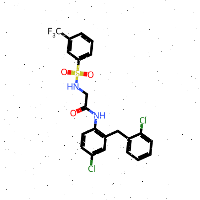 O=C(CNS(=O)(=O)c1cccc(C(F)(F)F)c1)Nc1ccc(Cl)cc1Cc1ccccc1Cl